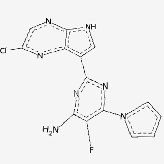 Nc1nc(-c2c[nH]c3ncc(Cl)nc23)nc(-n2cccc2)c1F